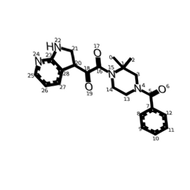 CC1(C)CN(C(=O)c2ccccc2)CCN1C(=O)C(=O)C1CNc2ncccc21